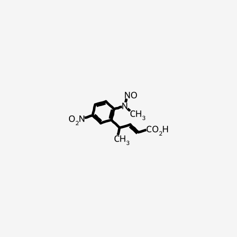 CC(C=CC(=O)O)c1cc([N+](=O)[O-])ccc1N(C)N=O